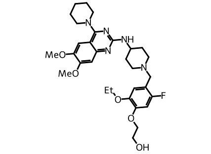 CCOc1cc(CN2CCC(Nc3nc(N4CCCCC4)c4cc(OC)c(OC)cc4n3)CC2)c(F)cc1OCCO